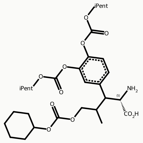 CCCC(C)OC(=O)Oc1ccc(C(C(C)COC(=O)OC2CCCCC2)[C@H](N)C(=O)O)cc1OC(=O)OC(C)CCC